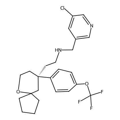 FC(F)(F)Oc1ccc([C@]2(CCNCc3cncc(Cl)c3)CCOC3(CCCC3)C2)cc1